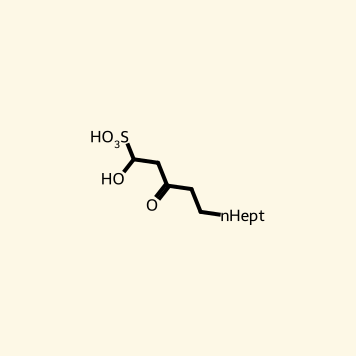 CCCCCCCCCC(=O)CC(O)S(=O)(=O)O